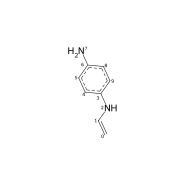 C=CNc1ccc(N)cc1